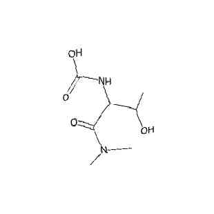 CC(O)C(NC(=O)O)C(=O)N(C)C